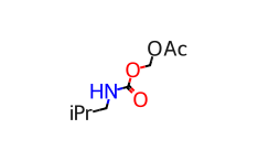 CC(=O)OCOC(=O)NCC(C)C